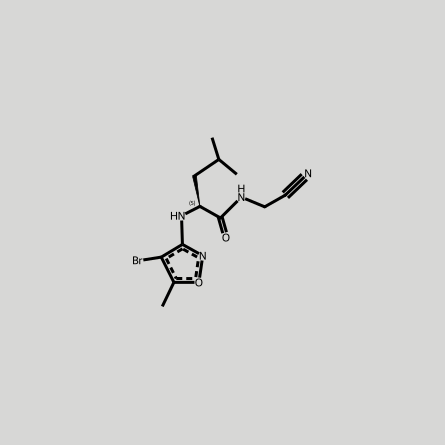 Cc1onc(N[C@@H](CC(C)C)C(=O)NCC#N)c1Br